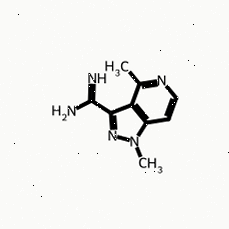 Cc1nccc2c1c(C(=N)N)nn2C